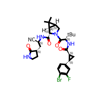 CC(C)(C)[C@H](NC(=O)[C@H]1C[C@@H]1c1ccc(Br)c(F)c1)C(=O)N1C[C@H]2[C@@H]([C@H]1C(=O)N[C@H](C#N)C[C@@H]1CCNC1=O)C2(C)C